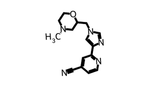 CN1CCOC(Cn2cnc(-c3cc(C#N)ccn3)c2)C1